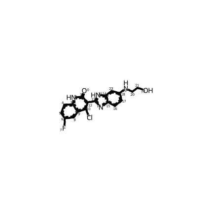 O=c1[nH]c2ccc(F)cc2c(Cl)c1-c1nc2ccc(NCCO)cc2[nH]1